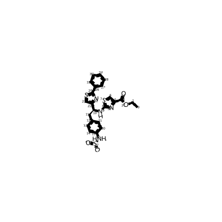 CCOC(=O)c1csc(N[C@@H](Cc2ccc(N[SH](=O)=O)cc2)c2csc(-c3ccccc3)n2)n1